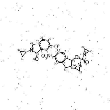 O=C1c2cc(Oc3cc4c(cc3[N+](=O)[O-])CC[C@@H]4OP(=O)(N3CC3)N3CC3)ccc2CN1C1CC1